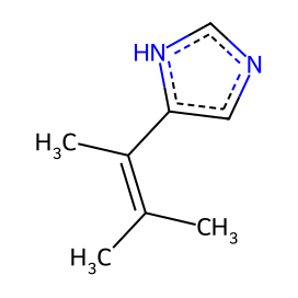 CC(C)=C(C)c1cnc[nH]1